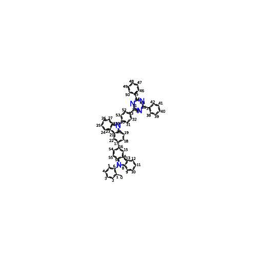 Cc1ccccc1-n1c2ccccc2c2cc(-c3ccc4c(c3)c3ccccc3n4-c3ccc(-c4nc(-c5ccccc5)nc(-c5ccccc5)n4)cc3)ccc21